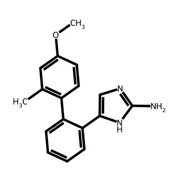 COc1ccc(-c2ccccc2-c2cnc(N)[nH]2)c(C)c1